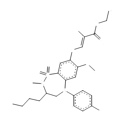 CCCCC1CN(c2ccc(F)cc2)c2cc(SC)c(O/C=C(\F)C(=O)OCC)cc2S(=O)(=O)N1C